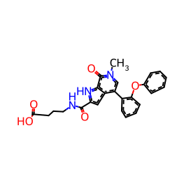 Cn1cc(-c2ccccc2Oc2ccccc2)c2cc(C(=O)NCCCC(=O)O)[nH]c2c1=O